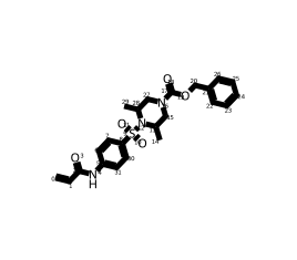 C=CC(=O)Nc1ccc(S(=O)(=O)N2C(C)CN(C(=O)OCc3ccccc3)CC2C)cc1